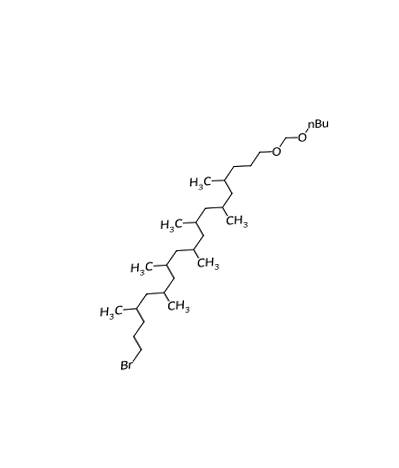 CCCCOCOCCCC(C)CC(C)CC(C)CC(C)CC(C)CC(C)CC(C)CCCBr